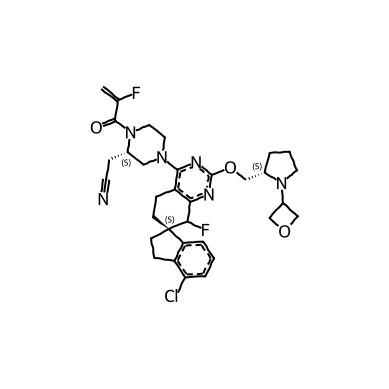 C=C(F)C(=O)N1CCN(c2nc(OC[C@@H]3CCCN3C3COC3)nc3c2CC[C@@]2(CCc4c(Cl)cccc42)C3F)C[C@@H]1CC#N